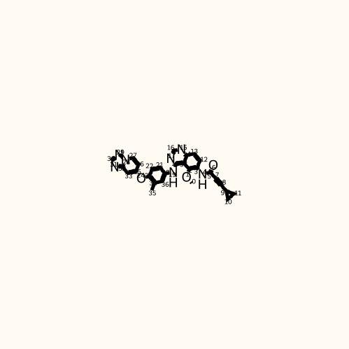 COc1c(NC(=O)C#CC2CC2)ccc2ncnc(Nc3ccc(Oc4ccn5ncnc5c4)c(C)c3)c12